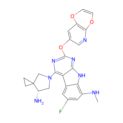 CNc1cc(F)cc2c1[nH]c1nc(Oc3cnc4c(c3)OC=CO4)nc(N3C[C@H](N)C4(CC4)C3)c12